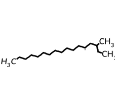 CCCCCCCCCCCC[CH]CC(C)CC